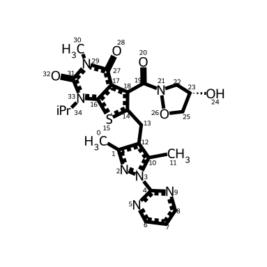 Cc1nn(-c2ncccn2)c(C)c1Cc1sc2c(c1C(=O)N1C[C@H](O)CO1)c(=O)n(C)c(=O)n2C(C)C